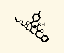 CCOCOC[C@H](C[C@H](Cc1ccccc1)C(=O)NO)NC(=O)C1CC=C(C)CC1